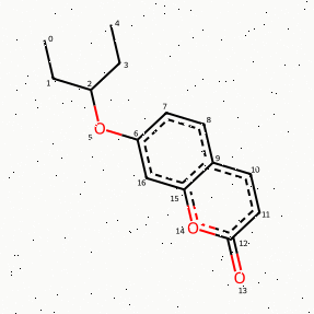 CCC(CC)Oc1ccc2ccc(=O)oc2c1